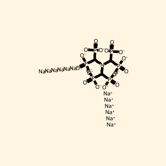 O=P([O-])([O-])C(N(C(P(=O)([O-])[O-])P(=O)([O-])[O-])C(P(=O)([O-])[O-])P(=O)([O-])[O-])P(=O)([O-])[O-].[Na+].[Na+].[Na+].[Na+].[Na+].[Na+].[Na+].[Na+].[Na+].[Na+].[Na+].[Na+]